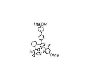 COc1cnc(-c2nc([C@@H]3CCCC[C@H]3C(=O)NC3(C#N)CC3)c(-c3ccc(N4CCS(O)(O)CC4)cc3)s2)c(F)c1